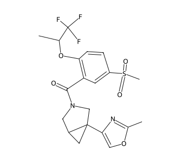 Cc1nc(C23CC2CN(C(=O)c2cc(S(C)(=O)=O)ccc2OC(C)C(F)(F)F)C3)co1